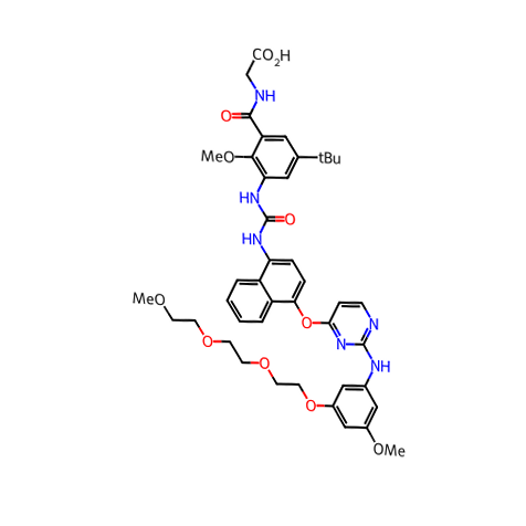 COCCOCCOCCOc1cc(Nc2nccc(Oc3ccc(NC(=O)Nc4cc(C(C)(C)C)cc(C(=O)NCC(=O)O)c4OC)c4ccccc34)n2)cc(OC)c1